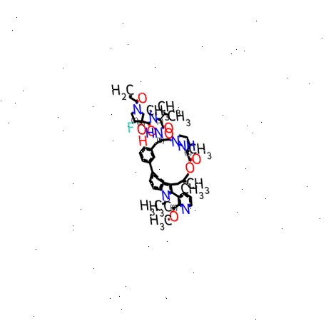 C=CC(=O)N1C[C@H](F)[C@](O)(C(=O)N(C)[C@H](C(=O)N[C@H]2Cc3cccc(c3)-c3ccc4c(c3)c(c(-c3cccnc3[C@H](C)OC)n4CC)CC(C)(C)COC(=O)[C@@]3(C)CCCN(N3)C2=O)C(C)C)C1